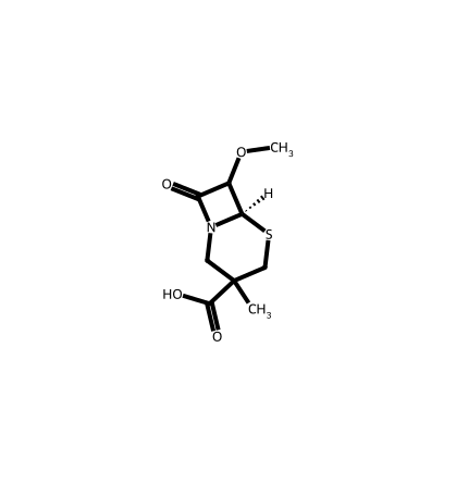 COC1C(=O)N2CC(C)(C(=O)O)CS[C@H]12